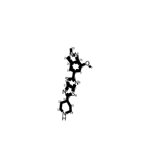 COc1cc(-c2nc3sc(C4CCNCC4)nc3s2)cc2cn(C)nc12